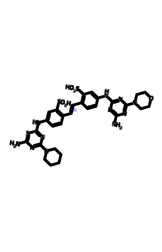 Nc1nc(Nc2ccc(/C=C/c3ccc(Nc4nc(N)nc(N5CCOCC5)n4)cc3S(=O)(=O)O)c(S(=O)(=O)O)c2)nc(N2CCCCC2)n1